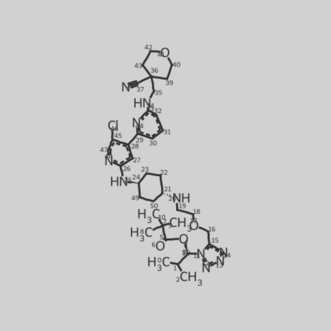 CC(C)[C@@H](OC(=O)C(C)(C)C)n1nnnc1COCCN[C@H]1CC[C@H](Nc2cc(-c3cccc(NCC4(C#N)CCOCC4)n3)c(Cl)cn2)CC1